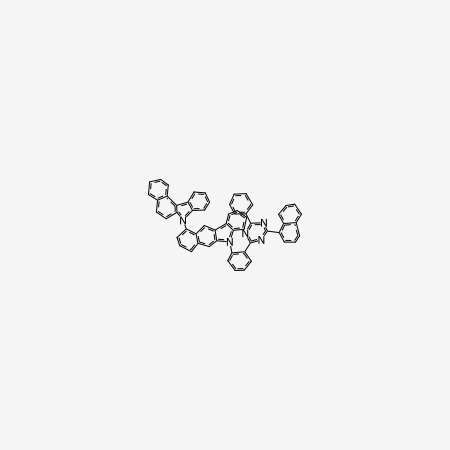 c1ccc(-c2nc(-c3ccccc3-n3c4ccccc4c4cc5c(-n6c7ccccc7c7c8ccccc8ccc76)cccc5cc43)nc(-c3cccc4ccccc34)n2)cc1